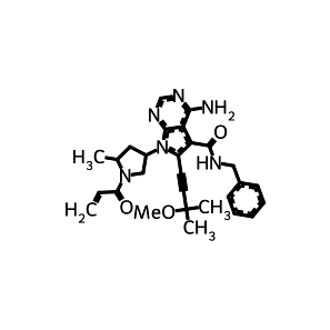 C=CC(=O)N1CC(n2c(C#CC(C)(C)OC)c(C(=O)NCc3ccccc3)c3c(N)ncnc32)CC1C